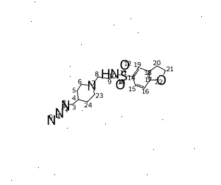 [N-]=[N+]=NCC1CCN(CCNS(=O)(=O)c2ccc3c(c2)CCO3)CC1